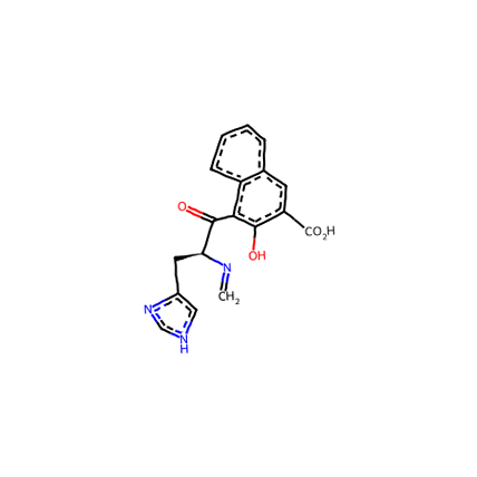 C=N[C@@H](Cc1c[nH]cn1)C(=O)c1c(O)c(C(=O)O)cc2ccccc12